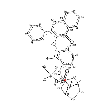 Cc1c(Oc2c(-c3ccccc3)oc3ccccc3c2=O)ncnc1OC1CC2CCC(C1)N2C(=O)OC(C)(C)C